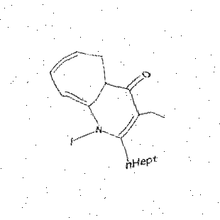 CCCCCCCC1=C(C)C(=O)C2CC=CC=C2N1I